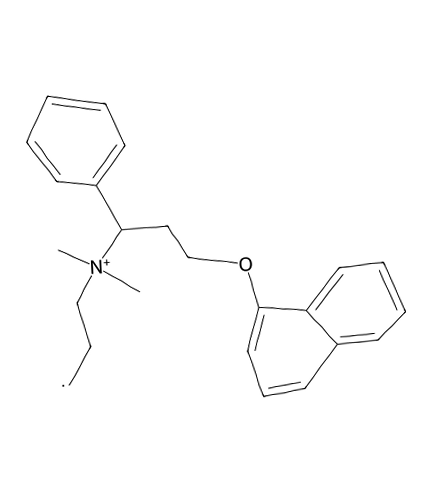 [CH2]CC[N+](C)(C)C(CCOc1cccc2ccccc12)c1ccccc1